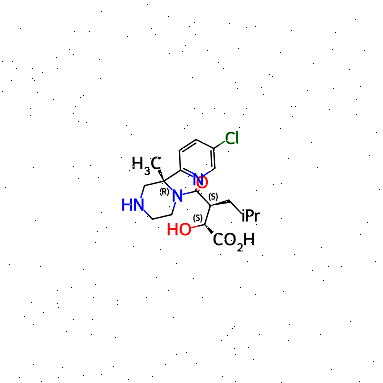 CC(C)C[C@H](C(=O)N1CCNC[C@]1(C)c1ccc(Cl)cn1)[C@H](O)C(=O)O